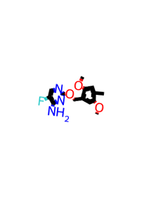 COc1cc(COc2ncc(F)c(N)n2)c(OC)cc1C